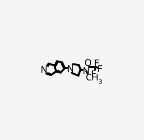 CN(C(=O)C(F)(F)F)C1CCN(c2ccc3cnccc3c2)CC1